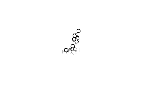 CSC12CCCCC1(C)N(c1ccccc1)c1ccc(-c3ccc4ccc5c(-c6ccccc6)ccc6ccc3c4c65)cc12